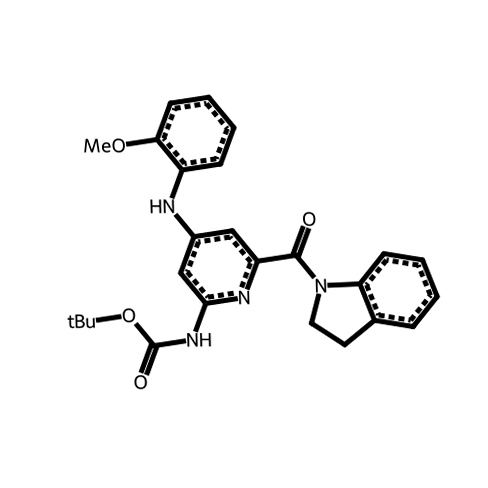 COc1ccccc1Nc1cc(NC(=O)OC(C)(C)C)nc(C(=O)N2CCc3ccccc32)c1